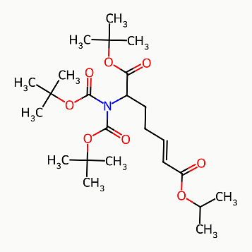 CC(C)OC(=O)C=CCCC(C(=O)OC(C)(C)C)N(C(=O)OC(C)(C)C)C(=O)OC(C)(C)C